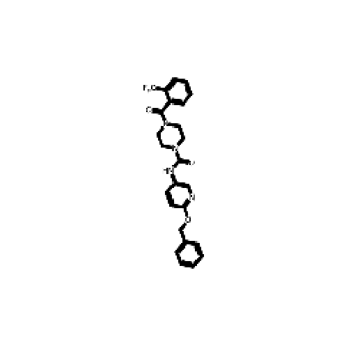 O=C(Nc1ccc(OCc2ccccc2)nc1)N1CCN(C(=O)c2ccccc2C(F)(F)F)CC1